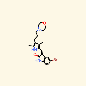 Cc1[nH]c(/C=C2\C(=O)Nc3ccc(Br)cc32)c(C)c1CCCN1CCOCC1